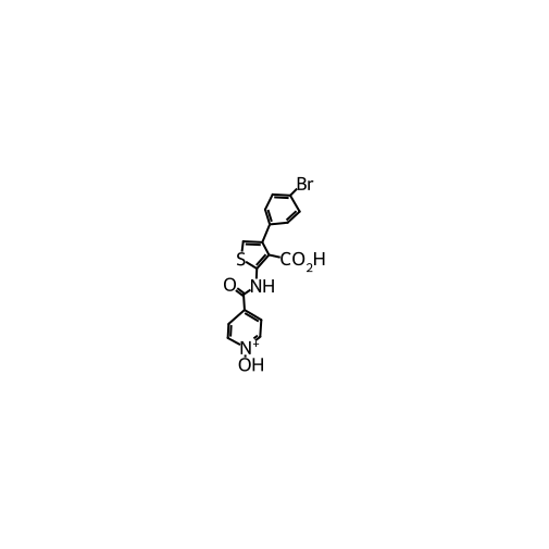 O=C(Nc1scc(-c2ccc(Br)cc2)c1C(=O)O)c1cc[n+](O)cc1